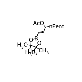 CCCCCC(C=CB1OC(C)(C)C(C)(C)O1)OC(C)=O